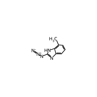 Cc1cccc2nc(N=[N+]=[N-])[nH]c12